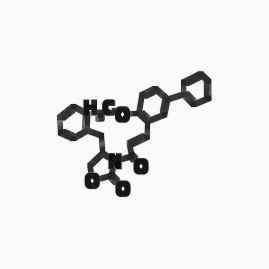 COc1ccc(-c2ccccc2)cc1C=CC(=O)N1C(=O)OCC1Cc1ccccc1